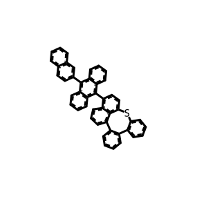 c1ccc2c(c1)Sc1ccc(-c3c4ccccc4c(-c4ccc5ccccc5c4)c4ccccc34)c3cccc(c13)-c1ccccc1-2